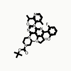 Cc1ccnc(C(C)C)c1-n1c(=O)nc(N2CCN(C(=O)OC(C)(C)C)C[C@@H]2C)c2c3c(c(-c4c(O)cccc4F)nc21)CCO3